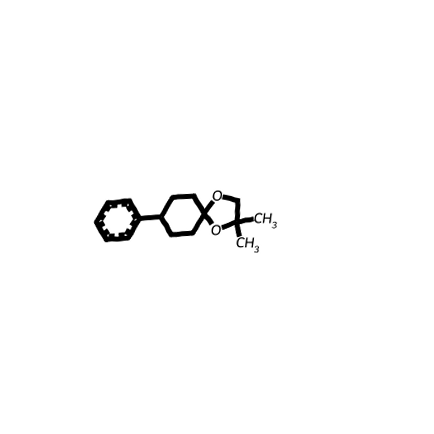 CC1(C)COC2(CC[C](c3ccccc3)CC2)O1